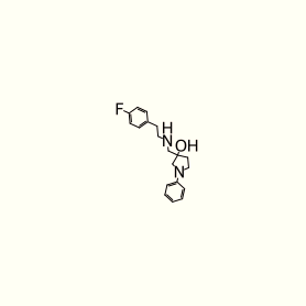 OC1(CNCCc2ccc(F)cc2)CCN(c2ccccc2)C1